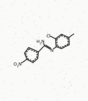 Cc1ccc(N=C(N)c2ccc([N+](=O)[O-])cc2)c(Cl)c1